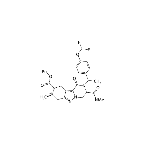 CNC(=O)C1Cn2nc3c(c2C(=O)N1C(C)c1ccc(OC(F)F)cc1)CN(C(=O)OC(C)(C)C)[C@H](C)C3